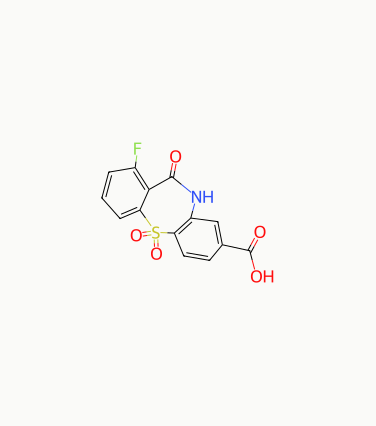 O=C(O)c1ccc2c(c1)NC(=O)c1c(F)cccc1S2(=O)=O